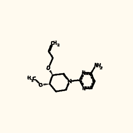 C=CCO[C@@H]1CN(c2nccc(N)n2)CC[C@@H]1OC